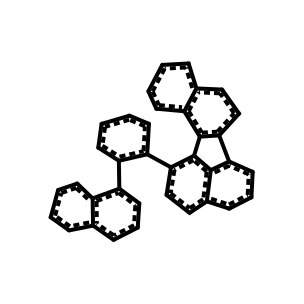 c1ccc(-c2cccc3ccccc23)c(-c2ccc3cccc4c3c2-c2c-4ccc3ccccc23)c1